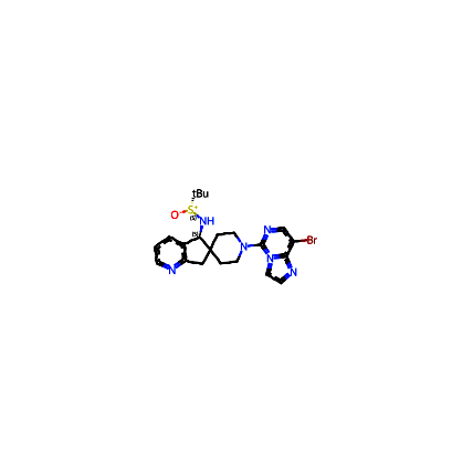 CC(C)(C)[S@@+]([O-])N[C@@H]1c2cccnc2CC12CCN(c1ncc(Br)c3nccn13)CC2